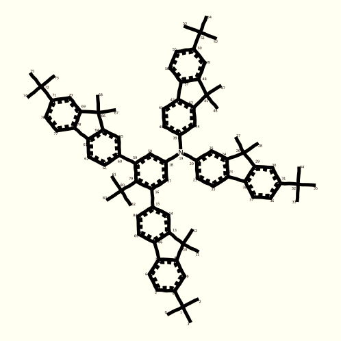 CC(C)(C)c1ccc2c(c1)C(C)(C)c1cc(-c3cc(N(c4ccc5c(c4)C(C)(C)c4cc(C(C)(C)C)ccc4-5)c4ccc5c(c4)C(C)(C)c4cc(C(C)(C)C)ccc4-5)cc(-c4ccc5c(c4)C(C)(C)c4cc(C(C)(C)C)ccc4-5)c3C(C)(C)C)ccc1-2